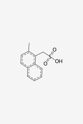 Cc1ccc2ccccc2c1CS(=O)(=O)O